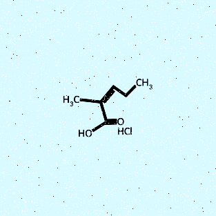 CCC=C(C)C(=O)O.Cl